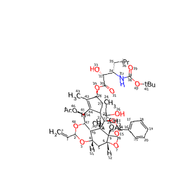 C=CC1O[C@H]2C[C@H]3OC[C@@]3(OC(C)=O)[C@H]3[C@H](OC(=O)c4ccccc4)[C@]4(C(C)(C)O)C[C@H](OC(=O)[C@H](O)[C@H](CC(C)C)NC(=O)OC(C)(C)C)C(C)=C4[C@H](OC(C)=O)[C@H](O1)[C@]23C